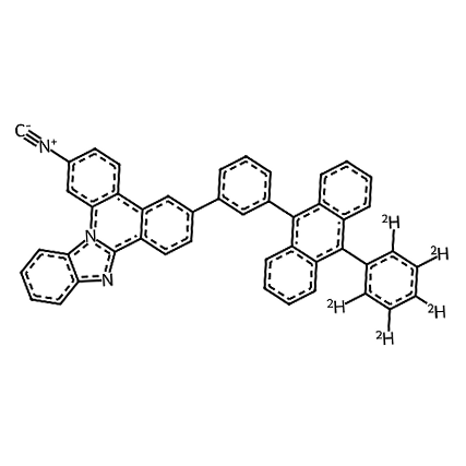 [2H]c1c([2H])c([2H])c(-c2c3ccccc3c(-c3cccc(-c4ccc5c(c4)c4ccc([N+]#[C-])cc4n4c6ccccc6nc54)c3)c3ccccc23)c([2H])c1[2H]